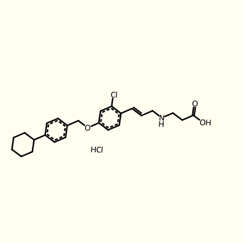 Cl.O=C(O)CCNCC=Cc1ccc(OCc2ccc(C3CCCCC3)cc2)cc1Cl